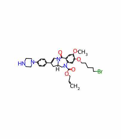 C=CCOC(=O)N1C[C@@H]2CC(c3ccc(N4CCNCC4)cc3)=CN2C(=O)c2cc(OC)c(OCCCCCBr)cc21